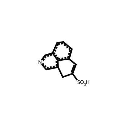 O=S(=O)(O)C1=Cc2cccc3cncc(c23)C1